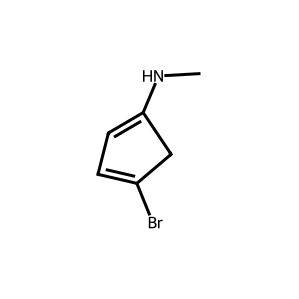 CNC1=CC=C(Br)C1